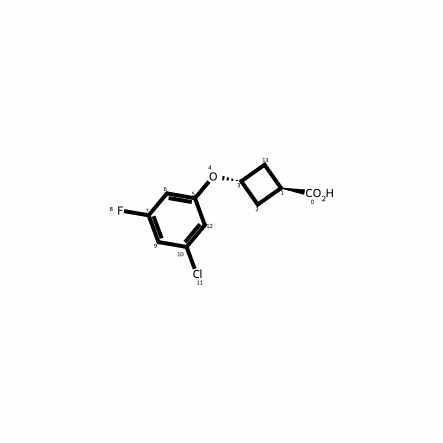 O=C(O)[C@H]1C[C@H](Oc2cc(F)cc(Cl)c2)C1